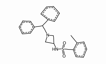 Cc1ccccc1S(=O)(=O)NC1CN(C(c2ccccc2)c2ccccc2)C1